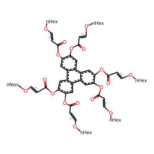 CCCCCCCCCO/C=C/C(=O)Oc1cc2c3cc(OC(=O)/C=C/OCCCCCC)c(OC(=O)/C=C/OCCCCCC)cc3c3cc(OC(=O)/C=C/OCCCCCC)c(OC(=O)/C=C/OCCCCCC)cc3c2cc1OC(=O)/C=C/OCCCCCC